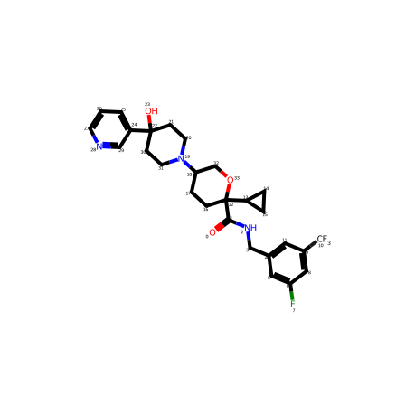 O=C(NCc1cc(F)cc(C(F)(F)F)c1)C1(C2CC2)CCC(N2CCC(O)(c3cccnc3)CC2)CO1